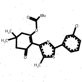 Cc1sc(-c2cccc(Cl)c2)nc1C1=C(OC(=O)C(C)(C)C)CC(C)(C)CC1=O